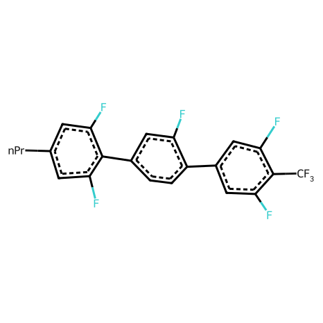 CCCc1cc(F)c(-c2ccc(-c3cc(F)c(C(F)(F)F)c(F)c3)c(F)c2)c(F)c1